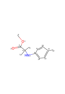 COC(=O)C(C)(C)Nc1ccc(C)cc1